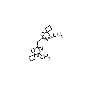 C[C@@H]1N=C(CC2=N[C@@H](C)C3(CCC3)O2)OC12CCC2